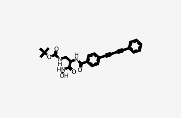 CC(C)(C)OC(=O)NCC(NC(=O)c1ccc(C#CC#Cc2ccccc2)cc1)C(=O)NO